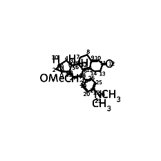 COC12C[C@@H]1C[C@H]1[C@@H]3CCC4=CC(=O)CCC4=C3[C@@H](c3ccc(N(C)C)cc3)C[C@@]12C